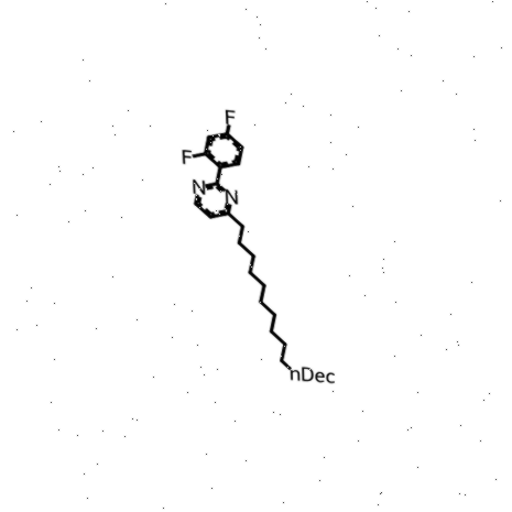 CCCCCCCCCCCCCCCCCCCCc1ccnc(-c2ccc(F)cc2F)n1